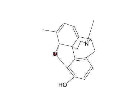 CC1=CC=C2C3Cc4ccc(O)c5c4[C@@]2(CCN3C)[C@H]1O5